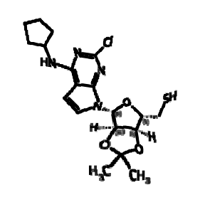 CC1(C)O[C@@H]2[C@H](O1)[C@@H](CS)O[C@H]2n1ccc2c(NC3CCCC3)nc(Cl)nc21